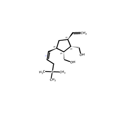 C=C[C@@H]1C[C@H](/C=C\CS(C)(C)C)[C@@H](CO)[C@H]1CO